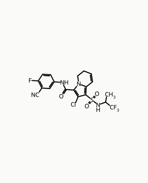 CC(NS(=O)(=O)c1c(Cl)c(C(=O)Nc2ccc(F)c(C#N)c2)n2c1C=CCC2)C(F)(F)F